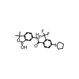 CC1(C)OB(O)c2cc(NC(=O)c3ccc(N4CCCC4)cc3C(F)(F)F)ccc21